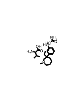 CC(C)C(N)C(=O)O.CCC1(c2cccc(O)c2)CCCCN(C)C1.NC(=O)O